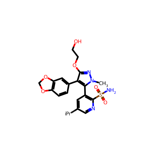 CC(C)c1cnc(S(N)(=O)=O)c(-c2c(-c3ccc4c(c3)OCO4)c(OCCO)nn2C)c1